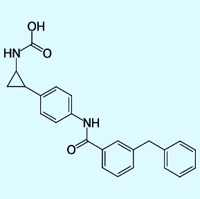 O=C(O)NC1CC1c1ccc(NC(=O)c2cccc(Cc3ccccc3)c2)cc1